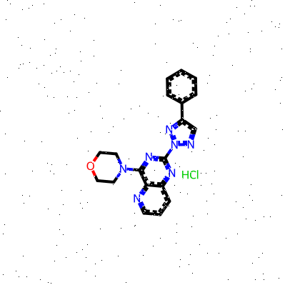 Cl.c1ccc(-c2cnn(-c3nc(N4CCOCC4)c4ncccc4n3)n2)cc1